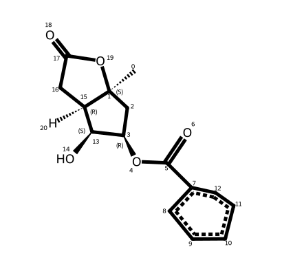 C[C@]12C[C@@H](OC(=O)c3ccccc3)[C@@H](O)[C@H]1CC(=O)O2